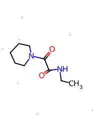 CCNC(=O)C(=O)N1CCCCC1